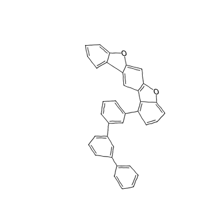 c1ccc(-c2cccc(-c3cccc(-c4cccc5oc6cc7oc8ccccc8c7cc6c45)c3)c2)cc1